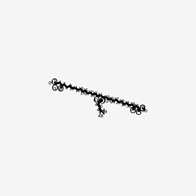 COC(=O)CC(=O)CCCCCCCCCCCCCC(CCCCCCCCCCCCCC(=O)CC(=O)OC)OC(=O)CCCN(C)C